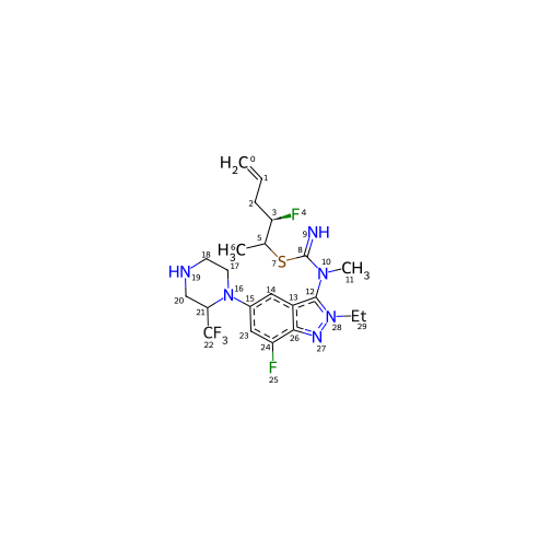 C=CC[C@@H](F)C(C)SC(=N)N(C)c1c2cc(N3CCNCC3C(F)(F)F)cc(F)c2nn1CC